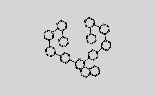 c1ccc(-c2ccccc2-c2cccc(-c3cccc(-c4ccc(-c5nc(-c6ccc(-c7cccc(-c8cccc(-c9ccccc9-c9ccccc9)c8)c7)cc6)c6c(ccc7ccccc76)n5)cc4)c3)c2)cc1